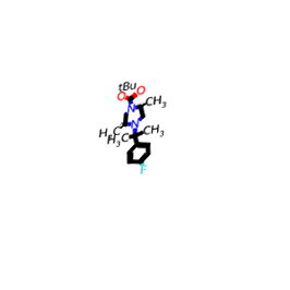 C[C@@H]1CN(C(=O)OC(C)(C)C)[C@@H](C)CN1C(C)(C)c1ccc(F)cc1